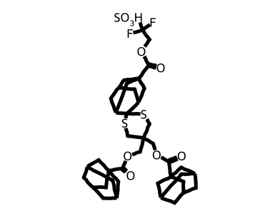 O=C(OCC1(COC(=O)C23CC4CC(CC(C4)C2)C3)CSC2(SC1)C1CC3CC2CC(C(=O)OCC(F)(F)S(=O)(=O)O)(C3)C1)C12CC3CC(CC(C3)C1)C2